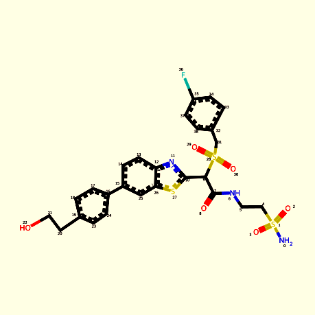 NS(=O)(=O)CCNC(=O)C(c1nc2ccc(-c3ccc(CCO)cc3)cc2s1)S(=O)(=O)Cc1ccc(F)cc1